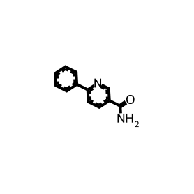 NC(=O)c1ccc(-c2ccccc2)nc1